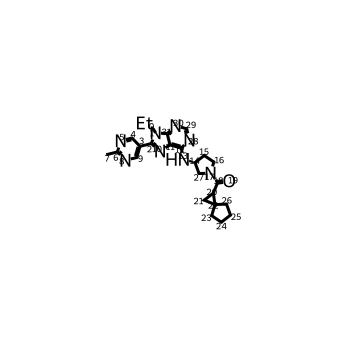 CCn1c(-c2cnc(C)nc2)nc2c(N[C@H]3CCN(C(=O)C4CC45CCCC5)C3)ncnc21